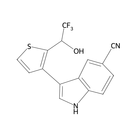 N#Cc1ccc2[nH]cc(-c3ccsc3C(O)C(F)(F)F)c2c1